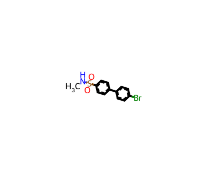 CNS(=O)(=O)c1ccc(-c2ccc(Br)cc2)cc1